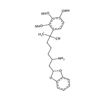 COc1ccc(C(C)(C#N)CCCC(N)CC2Oc3ccccc3O2)c(OC)c1OC